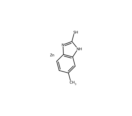 Cc1ccc2nc(S)[nH]c2c1.[Zn]